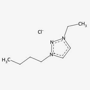 CCCC[n+]1ccn(CC)n1.[Cl-]